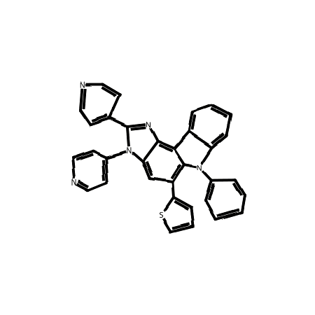 c1ccc(-n2c3ccccc3c3c4nc(-c5ccncc5)n(-c5ccncc5)c4cc(-c4cccs4)c32)cc1